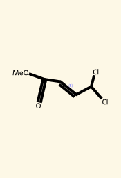 COC(=O)/C=C/C(Cl)Cl